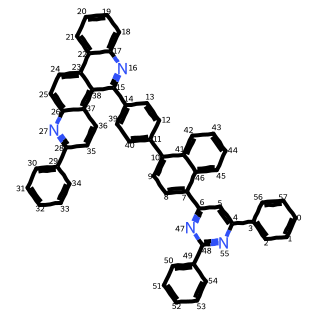 c1ccc(-c2cc(-c3ccc(-c4ccc(-c5nc6ccccc6c6ccc7nc(-c8ccccc8)ccc7c56)cc4)c4ccccc34)nc(-c3ccccc3)n2)cc1